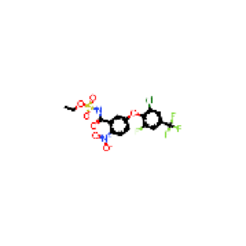 CCOS(=O)(=O)NC(=O)c1cc(Oc2c(F)cc(C(F)(F)F)cc2Cl)ccc1[N+](=O)[O-]